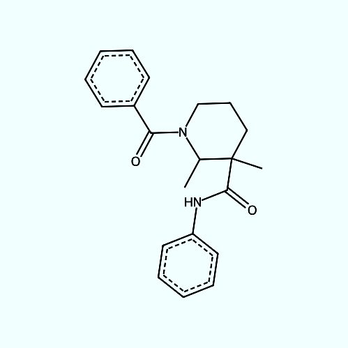 CC1N(C(=O)c2ccccc2)CCCC1(C)C(=O)Nc1ccccc1